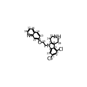 Clc1cc(Cl)c2c3c(n(CCOc4ccc5cccnc5c4)c2c1)CCNCC3